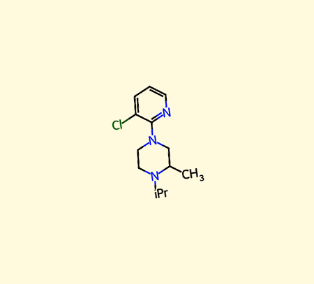 CC(C)N1CCN(c2ncccc2Cl)CC1C